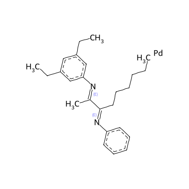 CCCCCCC(=N\c1ccccc1)/C(C)=N/c1cc(CC)cc(CC)c1.[Pd]